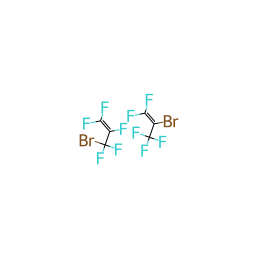 FC(F)=C(Br)C(F)(F)F.FC(F)=C(F)C(F)(F)Br